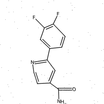 NC(=O)c1ccnc(-c2ccc(F)c(F)c2)c1